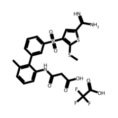 CSc1sc(C(=N)N)cc1S(=O)(=O)c1cccc(-c2c(C)cccc2NC(=O)CC(=O)O)c1.O=C(O)C(F)(F)F